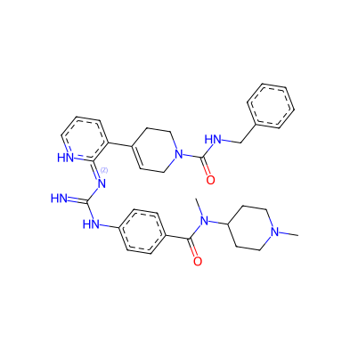 CN1CCC(N(C)C(=O)c2ccc(NC(=N)/N=c3\[nH]cccc3C3=CCN(C(=O)NCc4ccccc4)CC3)cc2)CC1